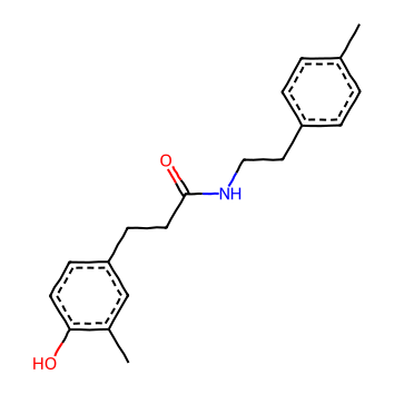 Cc1ccc(CCNC(=O)CCc2ccc(O)c(C)c2)cc1